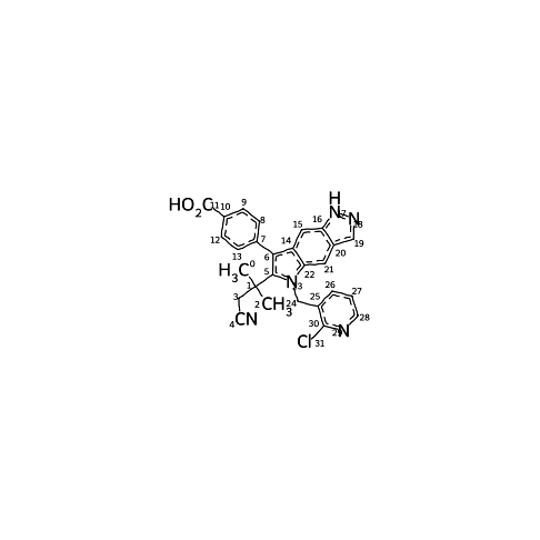 CC(C)(CC#N)c1c(-c2ccc(C(=O)O)cc2)c2cc3[nH]ncc3cc2n1Cc1cccnc1Cl